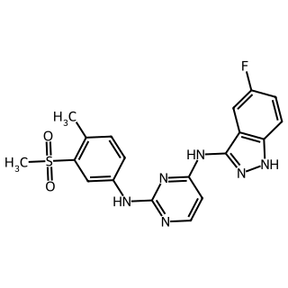 Cc1ccc(Nc2nccc(Nc3n[nH]c4ccc(F)cc34)n2)cc1S(C)(=O)=O